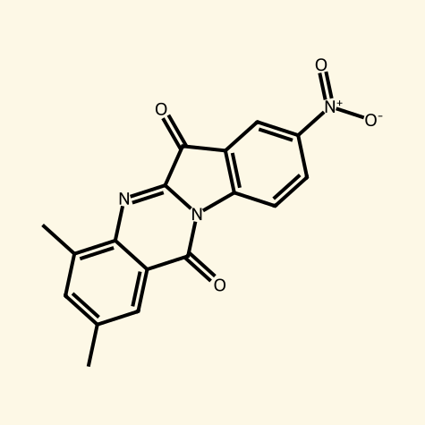 Cc1cc(C)c2nc3n(c(=O)c2c1)-c1ccc([N+](=O)[O-])cc1C3=O